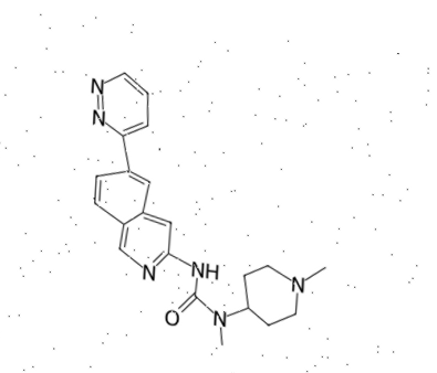 CN1CCC(N(C)C(=O)Nc2cc3cc(-c4cccnn4)ccc3cn2)CC1